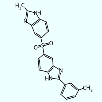 Cc1cccc(-c2nc3cc(S(=O)(=O)c4ccc5[nH]c(C)nc5c4)ccc3[nH]2)c1